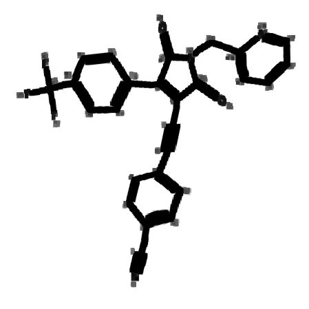 N#Cc1ccc(C#CC2=C(c3ccc(C(F)(F)F)cc3)C(=O)N(Cc3ccccn3)C2=O)cc1